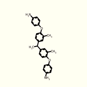 Cc1cc(C(C)c2ccc(Oc3ccc(N)cc3)c(C)c2)ccc1Oc1ccc(N)cc1